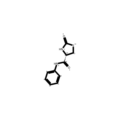 O=C1N[C@@H](C(=O)Nc2c[c]ccc2)CS1